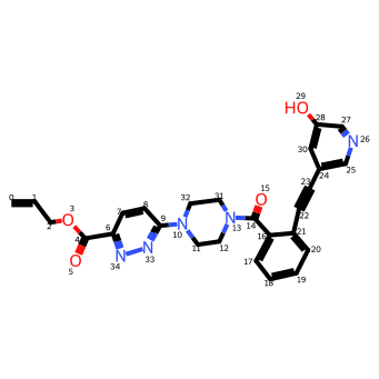 C=CCOC(=O)c1ccc(N2CCN(C(=O)c3ccccc3C#Cc3cncc(O)c3)CC2)nn1